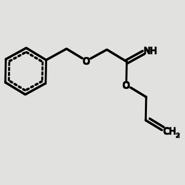 C=CCOC(=N)COCc1ccccc1